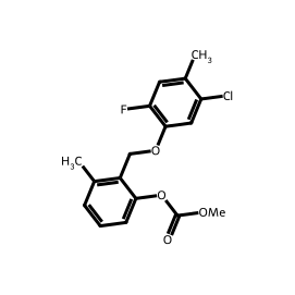 COC(=O)Oc1cccc(C)c1COc1cc(Cl)c(C)cc1F